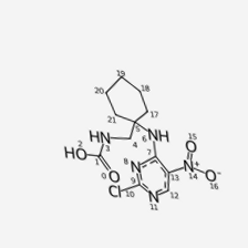 O=C(O)NCC1(Nc2nc(Cl)ncc2[N+](=O)[O-])CCCCC1